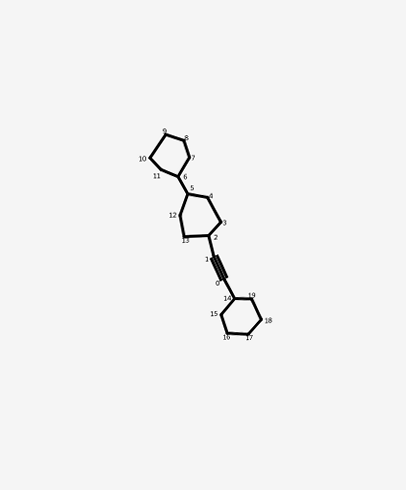 C(#CC1CCC(C2CCCCC2)CC1)C1CCCCC1